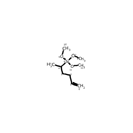 C=CCCC(C)[Si](OC)(OC)OC